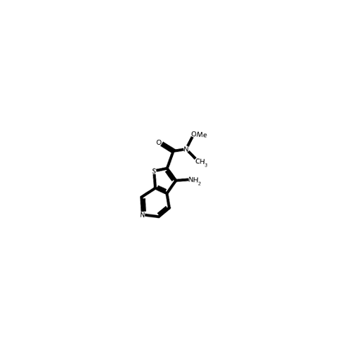 CON(C)C(=O)c1sc2cnccc2c1N